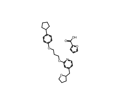 O=C(O)c1ccco1.c1cc(CC2CCCO2)cc(OCCCOc2ccc(C3CCCC3)cc2)n1